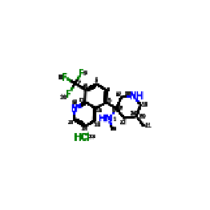 CN[C@]1(c2ccc(C(F)(F)F)c3ncccc23)CNC[C@@H](C)C1.Cl